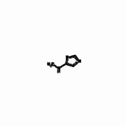 CNc1cncs1